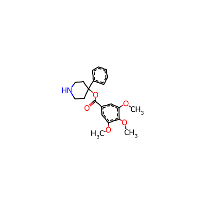 COc1cc(C(=O)OC2(c3ccccc3)CCNCC2)cc(OC)c1OC